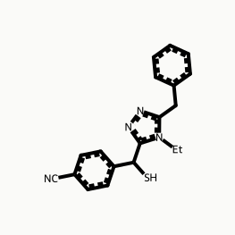 CCn1c(Cc2ccccc2)nnc1C(S)c1ccc(C#N)cc1